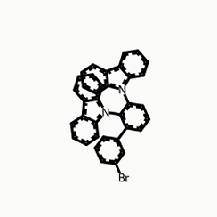 Brc1cccc(-c2cccc(-n3c4ccccc4c4ccccc43)c2-n2c3ccccc3c3ccccc32)c1